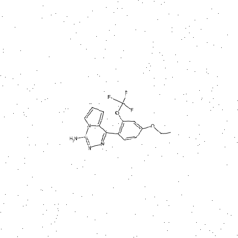 CCOc1ccc(-c2nnc(N)n3cccc23)c(OC(F)(F)F)c1